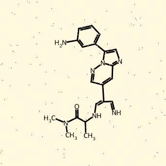 CC(N/C=C(\C=N)c1cnn2c(-c3cccc(N)c3)cnc2c1)C(=O)N(C)C